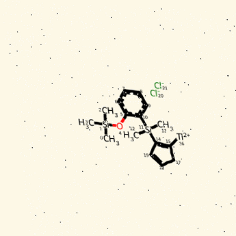 C[Si](C)(C)Oc1ccccc1[Si](C)(C)C1=[C]([Ti+2])CC=C1.[Cl-].[Cl-]